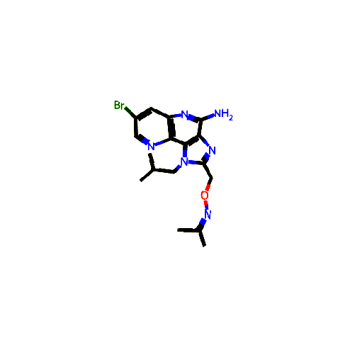 CC(C)=NOCc1nc2c(N)nc3cc(Br)cnc3c2n1CC(C)C